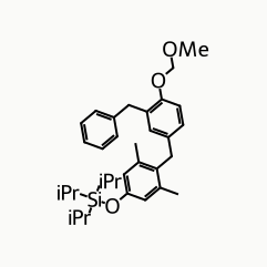 COCOc1ccc(Cc2c(C)cc(O[Si](C(C)C)(C(C)C)C(C)C)cc2C)cc1Cc1ccccc1